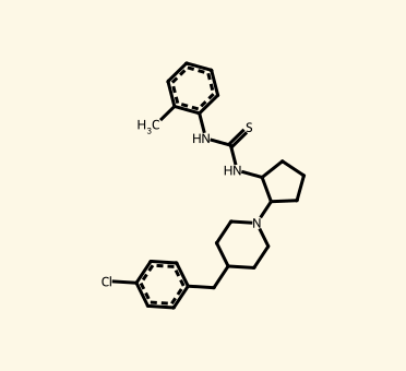 Cc1ccccc1NC(=S)NC1CCCC1N1CCC(Cc2ccc(Cl)cc2)CC1